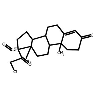 CC12CCC(=O)C=C1CCC1C2CCC2(C)C1CC[C@]2(C=O)C(=O)CCl